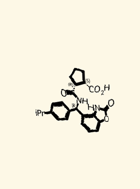 CC(C)c1ccc([C@@H](NC(=O)[C@@H]2CCC[C@@H]2C(=O)O)c2cccc3oc(=O)[nH]c23)cc1